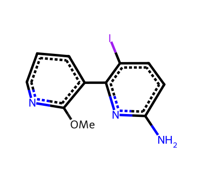 COc1ncccc1-c1nc(N)ccc1I